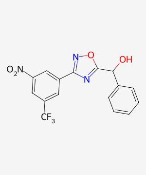 O=[N+]([O-])c1cc(-c2noc(C(O)c3ccccc3)n2)cc(C(F)(F)F)c1